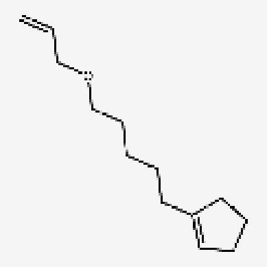 C=CCOCCCCCC1=CCCC1